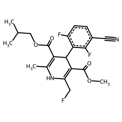 COC(=O)C1=C(CF)NC(C)=C(C(=O)OCC(C)C)C1c1c(F)ccc(C#N)c1F